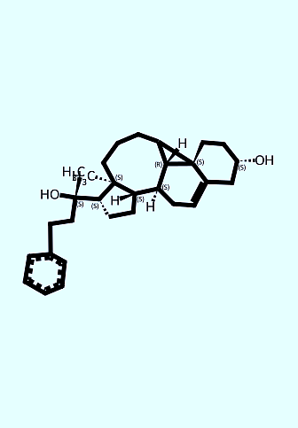 C[C@]12CCCC3[C@H]4[C@@H](CC=C5C[C@@H](O)CC[C@]534)[C@@H]1CC[C@@H]2[C@@](C)(O)CCc1ccccc1